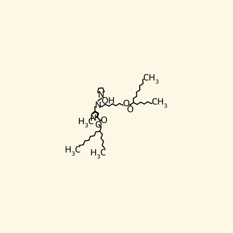 CCCCCCCCC(CCCCCC)COC(=O)c1cc(CN(CCN2CCCC2)CC(O)CCCCCOC(=O)C(CCCCCC)CCCCCCCC)cn1C